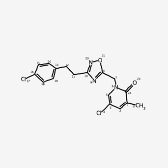 Cc1cc(Cl)cn(Cc2nc(CCc3ccc(Cl)cc3)no2)c1=O